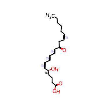 CCCCC/C=C\CC(=O)/C=C/C=C/C=C\[C@@H](O)CCCC(=O)O